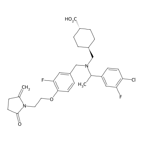 C=C1CCC(=O)N1CCOc1ccc(CN(C[C@H]2CC[C@H](C(=O)O)CC2)C(C)c2ccc(Cl)c(F)c2)cc1F